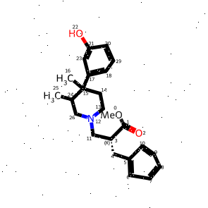 COC(=O)[C@H](Cc1ccccc1)CN1CCC(C)(c2cccc(O)c2)C(C)C1